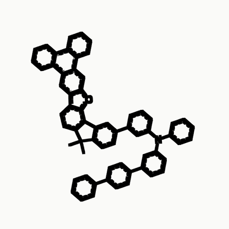 CC1(C)c2ccc(-c3cccc(N(c4ccccc4)c4cccc(-c5ccc(-c6ccccc6)cc5)c4)c3)cc2-c2c1ccc1c2oc2cc3c4ccccc4c4ccccc4c3cc21